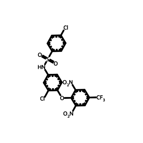 O=[N+]([O-])c1cc(C(F)(F)F)cc([N+](=O)[O-])c1Oc1ccc(NS(=O)(=O)c2ccc(Cl)cc2)cc1Cl